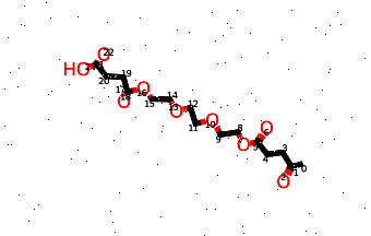 CC(=O)CCC(=O)OCCOCCOCCOC(=O)CCC(=O)O